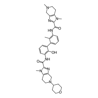 Cc1c(NC(=O)c2nc3c(n2C)CCN(C)C3)cccc1-c1cccc(NC(=O)c2nc3c(n2C)CCN(C2CCOCC2)C3)c1O